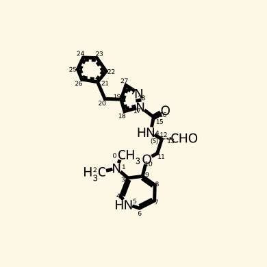 CN(C)C1=CNC=CC=C1OC[C@@H](C=O)NC(=O)n1cc(Cc2ccccc2)cn1